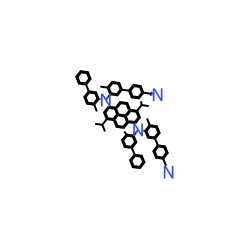 Cc1ccc(-c2ccccc2)cc1N(c1cc(-c2ccc(C#N)cc2)ccc1C)c1cc(C(C)C)c2ccc3c(N(c4cc(-c5ccccc5)ccc4C)c4cc(-c5ccc(C#N)cc5)ccc4C)cc(C(C)C)c4ccc1c2c43